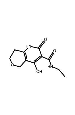 CCNC(=O)c1c(O)c2c([nH]c1=O)CCOC2